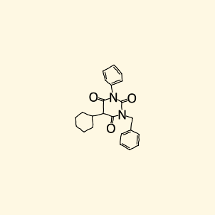 O=C1C(C2CCCCC2)C(=O)N(c2ccccc2)C(=O)N1Cc1ccccc1